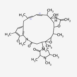 C=C1NC2(O)CC(O1)C(C)C1OC1(C)C(OC(=O)C(C)N(C)C(C)C)CC(=O)N(C)c1cc(cc(C)c1Cl)C/C(C)=C/C=C/C2C